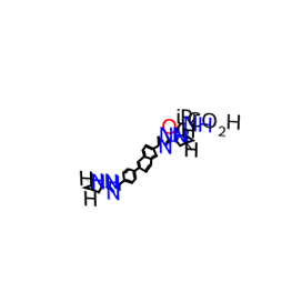 CC(C)[C@H](NC(=O)O)C(=O)N1[C@@H]2C[C@@H]2C[C@H]1c1nc(-c2ccc3cc(-c4ccc(-c5cnc([C@@H]6C[C@@H]7C[C@H]7N6)[nH]5)cc4)ccc3c2)c[nH]1